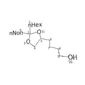 CCCCCCCCCC1(CCCCCC)OCC(CCCCO)O1